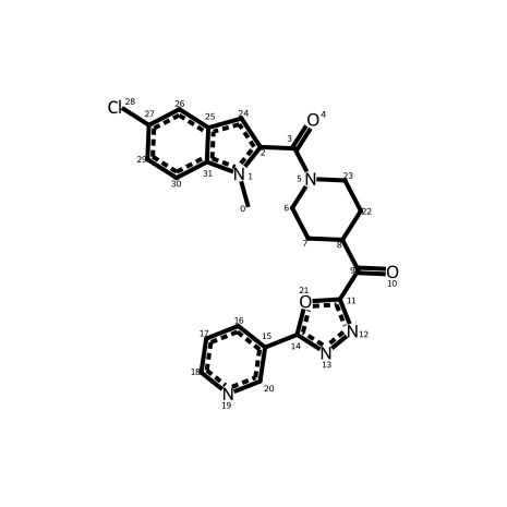 Cn1c(C(=O)N2CCC(C(=O)c3nnc(-c4cccnc4)o3)CC2)cc2cc(Cl)ccc21